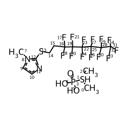 C[SH](C)P(=O)(O)O.Cn1ccnc1SCCC(F)(F)C(F)(F)C(F)(F)C(F)(F)C(F)(F)C(F)(F)F